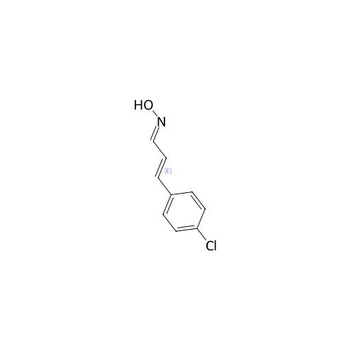 ON=C/C=C/c1ccc(Cl)cc1